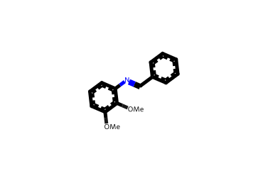 COc1cccc(N=Cc2ccccc2)c1OC